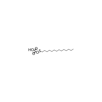 CCCCCCCCCCCCCCSOS(=O)(=O)O